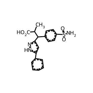 CC(C(=O)O)C(c1ccc(S(N)(=O)=O)cc1)c1cc(-c2ccccc2)[nH]n1